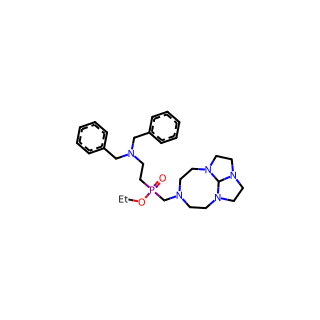 CCOP(=O)(CCN(Cc1ccccc1)Cc1ccccc1)CN1CCN2CCN3CCN(CC1)C23